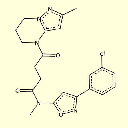 Cc1cc2n(n1)CCCN2C(=O)CCC(=O)N(C)c1cc(-c2cccc(Cl)c2)no1